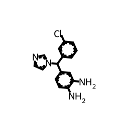 Nc1ccc(C(c2cccc(Cl)c2)n2ccnc2)cc1N